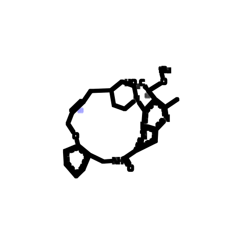 Cc1nc2cc3nn2c(c1[C@H](OC(C)(C)C)C(=O)O)N1CCC(C/C=C/COc2ccccc2CNC3=O)CC1